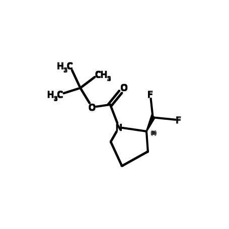 CC(C)(C)OC(=O)N1CCC[C@@H]1C(F)F